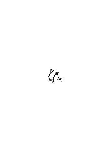 BrI.[Ag].[Br][Ag]